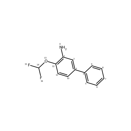 Nc1cc(-c2c[c]ccc2)ccc1OC(F)F